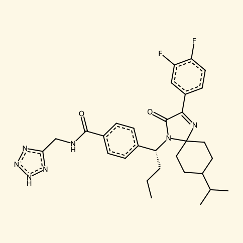 CCC[C@H](c1ccc(C(=O)NCc2nn[nH]n2)cc1)N1C(=O)C(c2ccc(F)c(F)c2)=NC12CCC(C(C)C)CC2